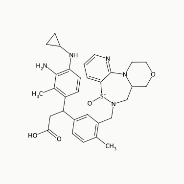 Cc1ccc(C(CC(=O)O)c2ccc(NC3CC3)c(N)c2C)cc1CN1CC2COCCN2c2ncccc2[S+]1[O-]